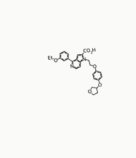 CCOc1cccc(-c2nccc3c2cc(C(=O)O)n3CCOc2ccc(OC3CCOC3)cc2)c1